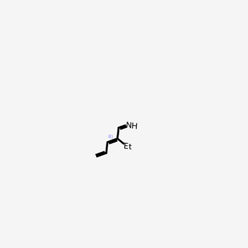 C=C/C=C(/C=N)CC